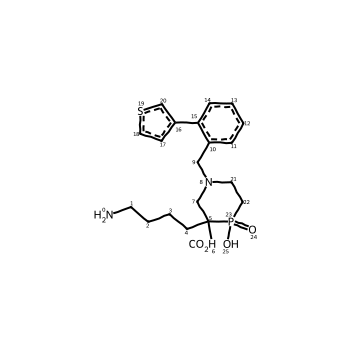 NCCCCC1(C(=O)O)CN(Cc2ccccc2-c2ccsc2)CCP1(=O)O